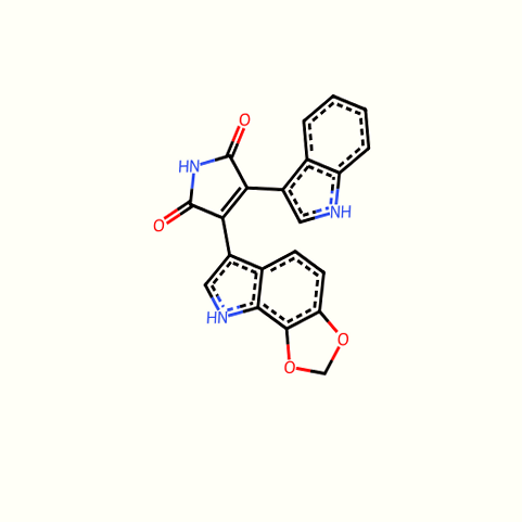 O=C1NC(=O)C(c2c[nH]c3c4c(ccc23)OCO4)=C1c1c[nH]c2ccccc12